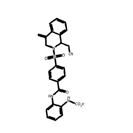 C=C1CN(S(=O)(=O)c2ccc(C(=O)Nc3ccccc3NC(=O)O)cc2)C(CC#N)c2ccccc21